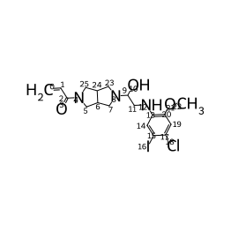 C=CC(=O)N1CC2CN(C(O)CNc3cc(I)c(Cl)cc3OC)CC2C1